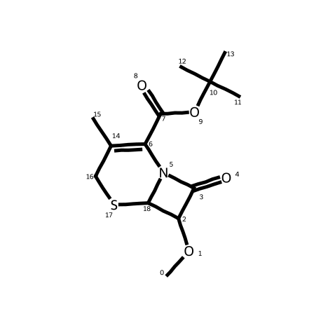 COC1C(=O)N2C(C(=O)OC(C)(C)C)=C(C)CSC12